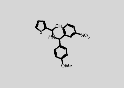 COc1ccc(C(NC(C)c2cccs2)c2cccc([N+](=O)[O-])c2)cc1